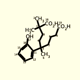 CC(C)(CCC(C)(CCCC(=O)O)c1ccccc1O)C(=O)O